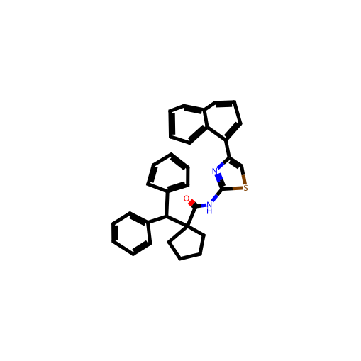 O=C(Nc1nc(-c2cccc3ccccc23)cs1)C1(C(c2ccccc2)c2ccccc2)CCCC1